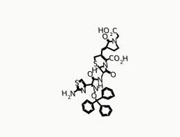 Nc1nc(C(=NOC(c2ccccc2)(c2ccccc2)c2ccccc2)C(=O)N[C@@H]2C(=O)N3C(C(=O)O)=C(C=C4CCN(CC(=O)O)C4=O)CS[C@H]23)cs1